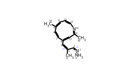 CC(/C=N\N)=C/c1ccc(C)cccnc(C)c1